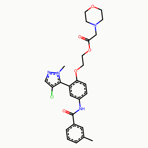 Cc1cccc(C(=O)Nc2ccc(OCCOC(=O)CN3CCOCC3)c(-c3c(Cl)cnn3C)c2)c1